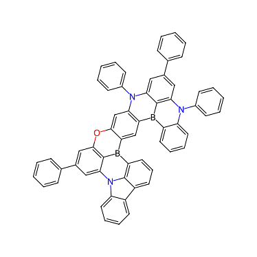 c1ccc(-c2cc3c4c(c2)N(c2ccccc2)c2cc5c(cc2B4c2ccccc2N3c2ccccc2)B2c3c(cc(-c4ccccc4)cc3-n3c4ccccc4c4cccc2c43)O5)cc1